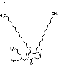 CCCCCCCCCCCCCOC(=O)c1c(CCCCCCCCCCCCC)cccc1C(=O)OCC(CC)CCCC